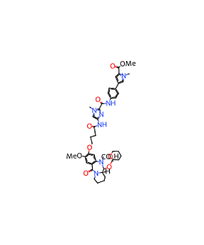 COC(=O)c1cc(-c2ccc(NC(=O)c3nc(NC(=O)CCCOc4cc5c(cc4OC)C(=O)N4CCCC[C@H]4C(OC4CCCCO4)N5C(=O)O)cn3C)cc2)cn1C